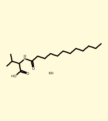 CCCCCCCCCCCC(=O)NC(C(=O)O)C(C)C.[KH]